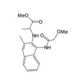 COCC(=O)Nc1c(NC(C)C(=O)OC)c(C)cc2ccccc12